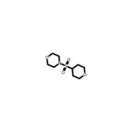 O=S(=O)(C1CCOCC1)N1CCOCC1